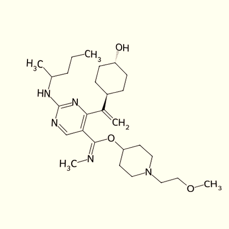 C=C(c1nc(NC(C)CCC)ncc1/C(=N\C)OC1CCN(CCOC)CC1)[C@H]1CC[C@H](O)CC1